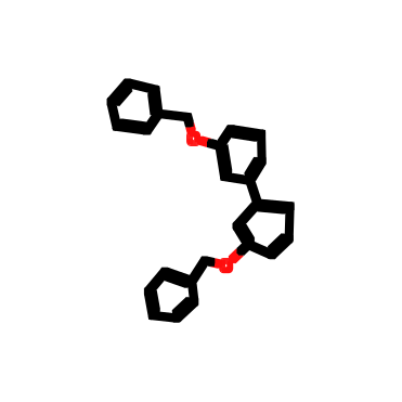 c1ccc(COc2cccc(-c3cccc(OCc4ccccc4)c3)c2)cc1